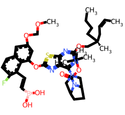 C/C=C\C[C@@](C)(CCCC)COc1nc(N2CC3CCC(C2)N3C(=O)OC(C)(C)C)c2nc(Oc3cc(OCOC)cc4ccc(F)c(/C=C/B(O)O)c34)sc2n1